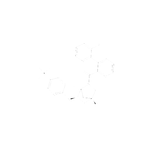 O=C(c1ncccc1-c1ncccc1F)N1C[C@@H]2C[C@@H](Nc3ccc(C(F)(F)F)cn3)[C@@H]1C2